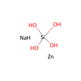 O[Si](O)(O)O.[NaH].[Zn]